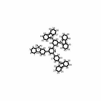 CC1(C)c2ccccc2-c2ccc(-c3cc(-c4ccc(-n5c6ccccc6c6ccccc65)cc4)nc(-c4cc(-n5c6ccccc6c6ccccc65)cc(-n5c6ccccc6c6ccccc65)c4)c3)cc21